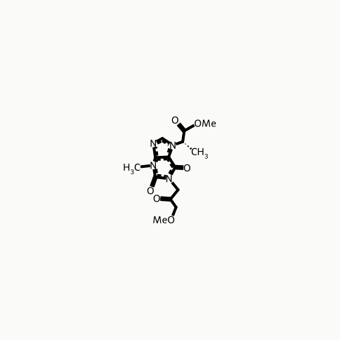 COCC(=O)Cn1c(=O)c2c(ncn2[C@@H](C)C(=O)OC)n(C)c1=O